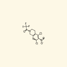 O=C(N1CCc2c(nc(Cl)c([N+](=O)[O-])c2Cl)C1)C(F)(F)F